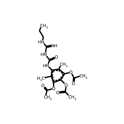 CCCNC(=N)NC(=O)Nc1c(C)c(OC(C)=O)c(OC(C)=O)c(OC(C)=O)c1C